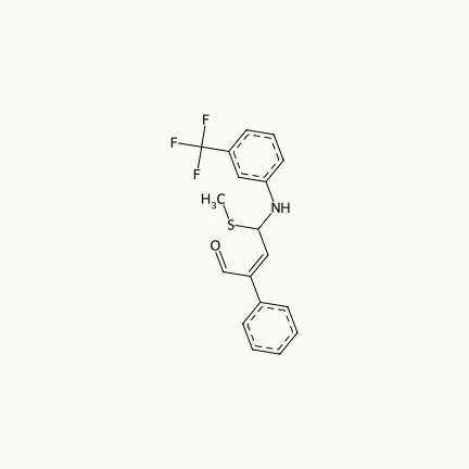 CSC(C=C(C=O)c1ccccc1)Nc1cccc(C(F)(F)F)c1